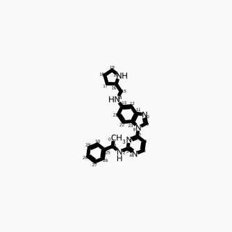 CC(Nc1nccc(-n2cnc3cc(NCC4CCCN4)ccc32)n1)c1ccccc1